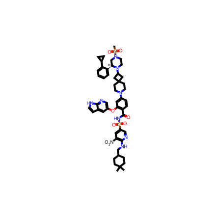 CC1(C)CCC(CNc2ncc(S(=O)(=O)NC(=O)c3ccc(N4CCC5(CC4)CC(N4CCN(S(C)(=O)=O)C[C@H]4c4ccccc4C4CC4)C5)cc3Oc3cnc4[nH]ccc4c3)cc2[N+](=O)[O-])CC1